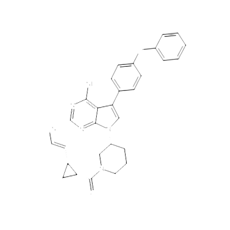 N#CC=C[C@H]1C[C@H]1C(=O)N1CCC[C@@H](n2cc(-c3ccc(Oc4ccccc4)cc3)c3c(N)ncnc32)C1